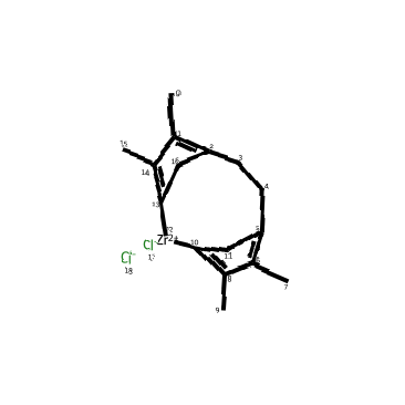 CC1=C2CCC3=C(C)C(C)=[C](C3)[Zr+2][C](=C1C)C2.[Cl-].[Cl-]